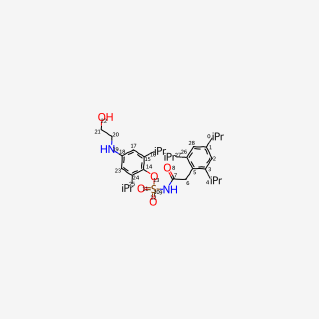 CC(C)c1cc(C(C)C)c(CC(=O)NS(=O)(=O)Oc2c(C(C)C)cc(NCCO)cc2C(C)C)c(C(C)C)c1